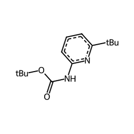 CC(C)(C)OC(=O)Nc1cccc(C(C)(C)C)n1